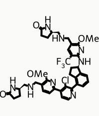 COc1nc(-c2ccnc(-c3cccc4c3CC[C@@H]4Nc3nc(OC)c(CNC[C@H]4CCC(=O)N4)cc3C(F)(F)F)c2Cl)ccc1CNC[C@H]1CCC(=O)N1